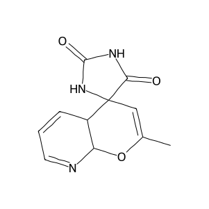 CC1=CC2(NC(=O)NC2=O)C2C=CC=NC2O1